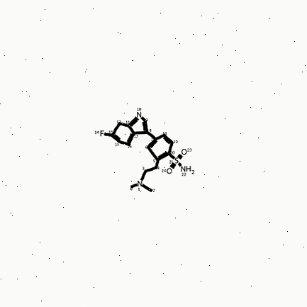 CN(C)CCc1cc(C2=CN=C3CC(F)=CC=C23)ccc1S(N)(=O)=O